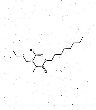 CCCCCCCCOC(=O)C(C)C(CCCC)C(=O)O